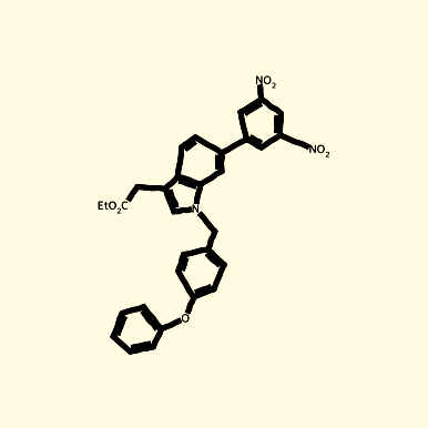 CCOC(=O)Cc1cn(Cc2ccc(Oc3ccccc3)cc2)c2cc(-c3cc([N+](=O)[O-])cc([N+](=O)[O-])c3)ccc12